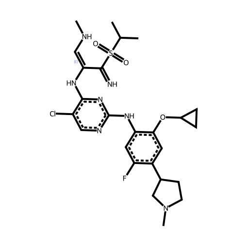 CN/C=C(/Nc1nc(Nc2cc(F)c(C3CCN(C)C3)cc2OC2CC2)ncc1Cl)C(=N)S(=O)(=O)C(C)C